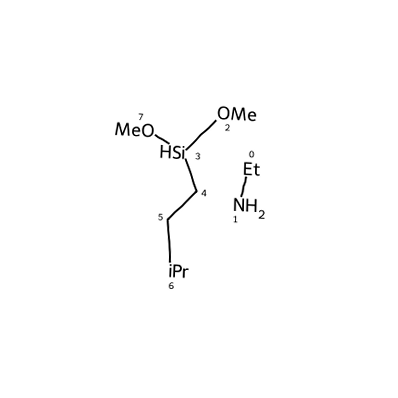 CCN.CO[SiH](CCC(C)C)OC